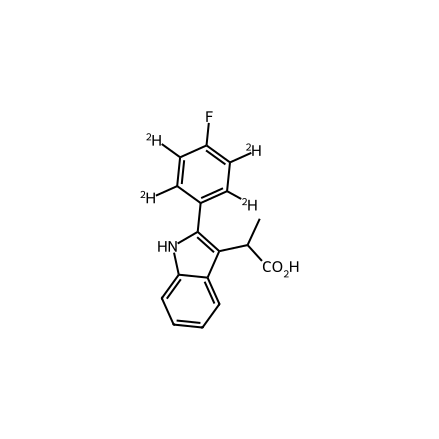 [2H]c1c([2H])c(-c2[nH]c3ccccc3c2C(C)C(=O)O)c([2H])c([2H])c1F